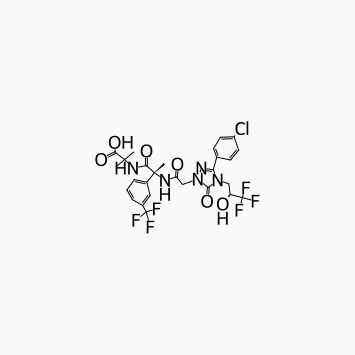 CC(C)(NC(=O)[C@](C)(NC(=O)Cn1nc(-c2ccc(Cl)cc2)n(C[C@H](O)C(F)(F)F)c1=O)c1cccc(C(F)(F)F)c1)C(=O)O